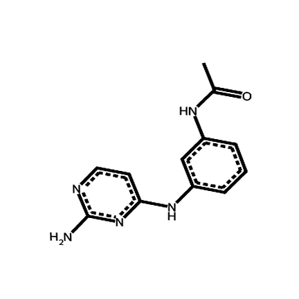 CC(=O)Nc1cccc(Nc2ccnc(N)n2)c1